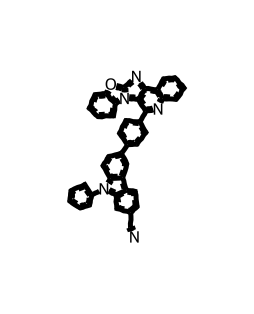 N#Cc1ccc2c3cc(-c4ccc(-c5nc6ccccc6c6nc7oc8ccccc8n7c56)cc4)ccc3n(-c3ccccc3)c2c1